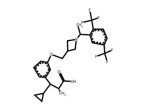 CC(c1cc(C(F)(F)F)ccc1C(F)(F)F)N1CC(COc2cccc(C(C3CC3)[C@H](C)C(=O)O)c2)C1